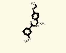 C[C@H](NC(=O)c1cccc(OC(F)(F)F)c1)c1ccc(OCC(F)(F)F)cn1